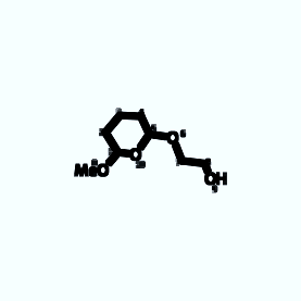 COC1CCCC(OCCO)O1